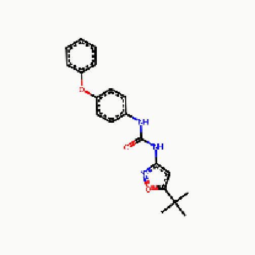 CC(C)(C)c1cc(NC(=O)Nc2ccc(Oc3ccccc3)cc2)no1